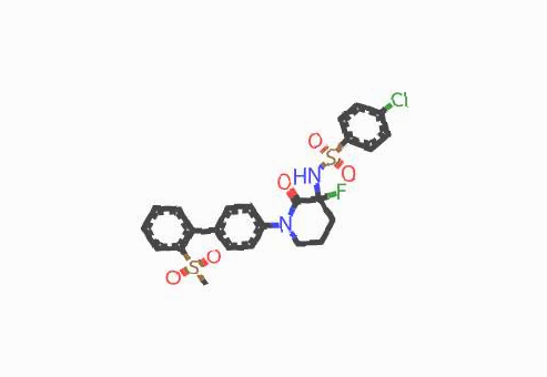 CS(=O)(=O)c1ccccc1-c1ccc(N2CCCC(F)(NS(=O)(=O)c3ccc(Cl)cc3)C2=O)cc1